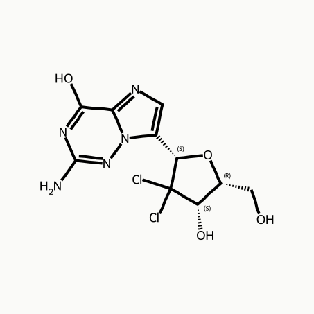 Nc1nc(O)c2ncc([C@@H]3O[C@H](CO)[C@H](O)C3(Cl)Cl)n2n1